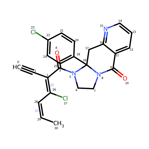 C#C/C(C(=O)N1CCN2C(=O)c3cccnc3CC12c1ccc(Cl)cc1)=C(Cl)\C=C/C